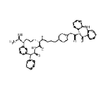 N=C(N)NCCC[C@H](NCCCC1CCN(CC(=O)N2C(=O)c3ccccc3Nc3ncccc32)CC1)C(=O)NC(=O)C(c1ccccc1)c1ccccc1